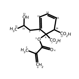 C=C(C)C(=O)OC1(C(=O)O)C(CC(C)O)=CC=CC1C(=O)O